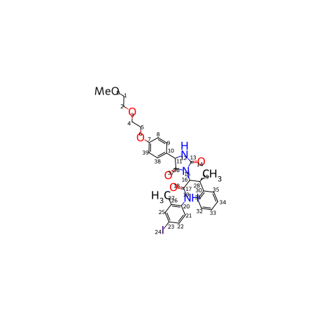 COCCOCCOc1ccc(C2NC(=O)N([C@H](C(=O)Nc3ccc(I)cc3C)[C@@H](C)c3ccccc3)C2=O)cc1